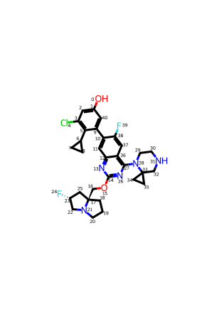 Oc1cc(Cl)c(C2CC2)c(-c2cc3nc(OC[C@@]45CCCN4C[C@H](F)C5)nc(N4CCNCC45CC5)c3cc2F)c1